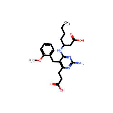 CCCCC(CC(=O)O)Nc1nc(N)nc(CCC(=O)O)c1Cc1ccccc1OC